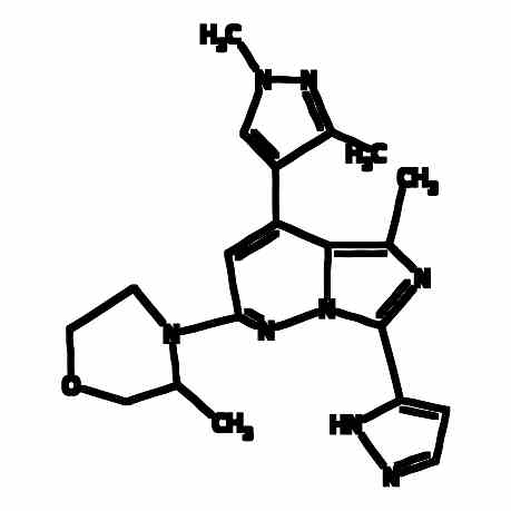 Cc1nn(C)cc1-c1cc(N2CCOCC2C)nn2c(-c3ccn[nH]3)nc(C)c12